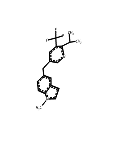 CC(C)c1ncc(Cc2ccc3c(ccn3C)c2)cc1C(F)(F)F